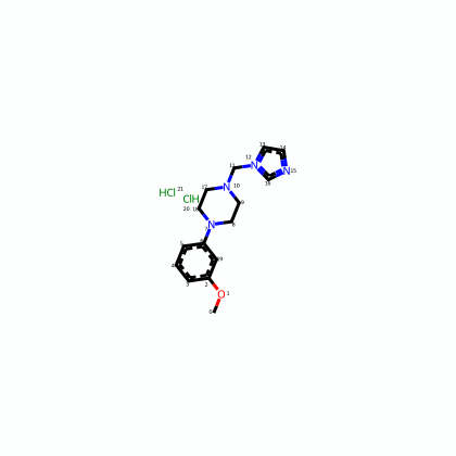 COc1cccc(N2CCN(Cn3ccnc3)CC2)c1.Cl.Cl